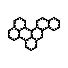 c1ccc2c(c1)ccc1c2cc2cccc3c4cccc5cccc(c54)c1c23